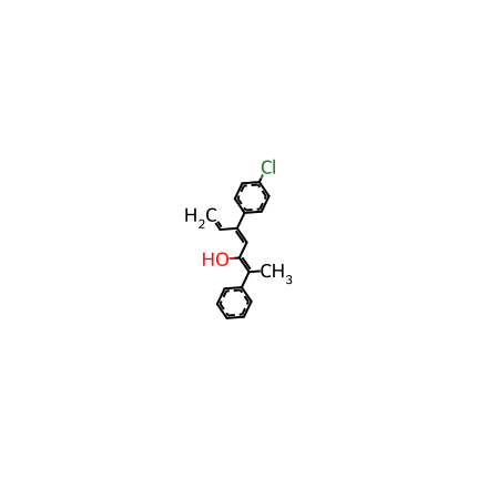 C=C/C(=C\C(O)=C(/C)c1ccccc1)c1ccc(Cl)cc1